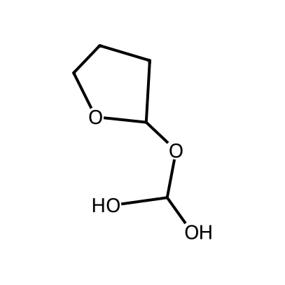 OC(O)OC1CCCO1